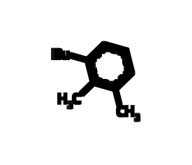 CCC(C)c1cccc(C)c1C